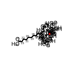 CCN(C(P(=O)(O)O)P(=O)(O)O)C(N(CCCCCCCCCCC(=O)O)C(N(CC)C(P(=O)(O)O)P(=O)(O)O)(P(=O)(O)O)P(=O)(O)O)(P(=O)(O)O)P(=O)(O)O